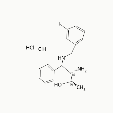 C[C@@H](O)[C@@H](N)C(NCc1cccc(I)c1)c1ccccc1.Cl.Cl